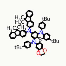 CC(C)(C)c1ccc(N2c3ccc(C(C)(C)C)cc3B3c4cc5c(cc4N(c4ccc(C(C)(C)C)cc4)c4cc(N(c6ccc7c(c6)C(C)(C)c6ccccc6-7)c6ccc7c(c6)C(C)(C)C6C=CC=CC76)cc2c43)OCCO5)cc1